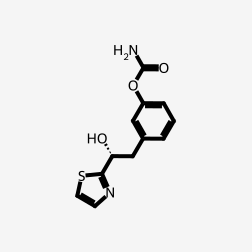 NC(=O)Oc1cccc(C[C@@H](O)c2nccs2)c1